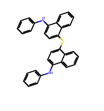 c1ccc(Nc2ccc(Sc3ccc(Nc4ccccc4)c4ccccc34)c3ccccc23)cc1